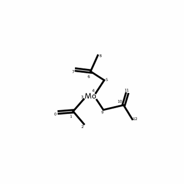 C=C(C)[CH2][Mo]([CH2]C(=C)C)[CH2]C(=C)C